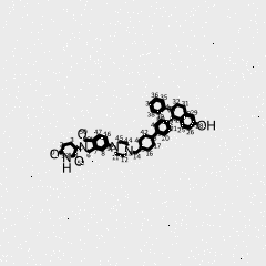 O=C1CCC(N2Cc3cc(N4CCN(CC5CCC(c6ccc([C@@H]7c8ccc(O)cc8CC[C@@H]7c7ccccc7)cc6)CC5)CC4)ccc3C2=O)C(=O)N1